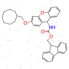 O=C(NC1c2ccccc2Oc2cc(OCC3CCCCCCC3)ccc21)OCC1c2ccccc2-c2ccccc21